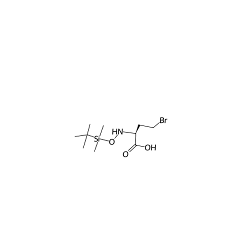 CC(C)(C)[Si](C)(C)ON[C@@H](CCBr)C(=O)O